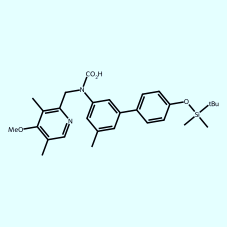 COc1c(C)cnc(CN(C(=O)O)c2cc(C)cc(-c3ccc(O[Si](C)(C)C(C)(C)C)cc3)c2)c1C